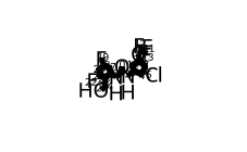 O=C(Nc1cc(Cl)cc(OC(F)(F)F)c1)Nc1cc(F)cc(F)c1CO